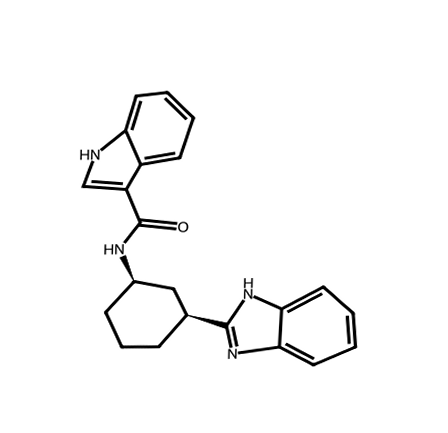 O=C(N[C@@H]1CCC[C@H](c2nc3ccccc3[nH]2)C1)c1c[nH]c2ccccc12